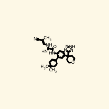 C/C(C#N)=C\NC(=N)C(=O)Nc1ccc(C2(c3nn[nH]n3)CCOCC2)cc1C1=CCC(C)(C)CC1